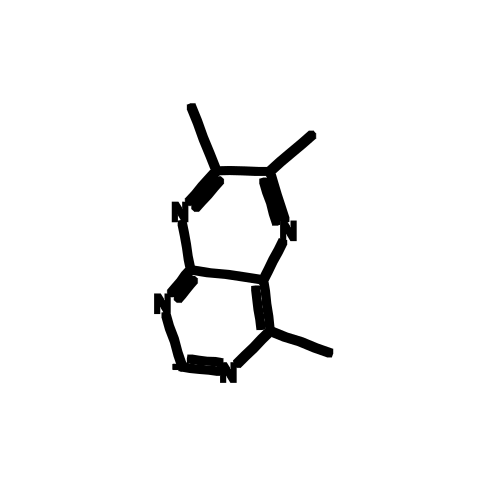 Cc1nc2n[c]nc(C)c2nc1C